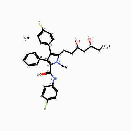 CC(C)n1c(CCC(O)C[C@@H](O)CC(=O)O)c(-c2ccc(F)cc2)c(-c2ccccc2)c1C(=O)Nc1ccc(F)cc1.[NaH]